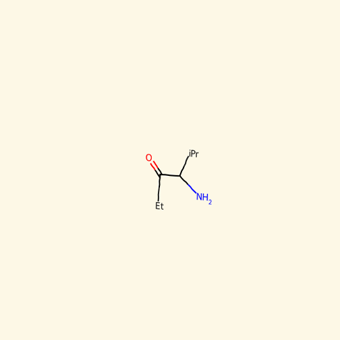 CCC(=O)C(N)C(C)C